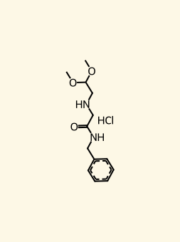 COC(CNCC(=O)NCc1ccccc1)OC.Cl